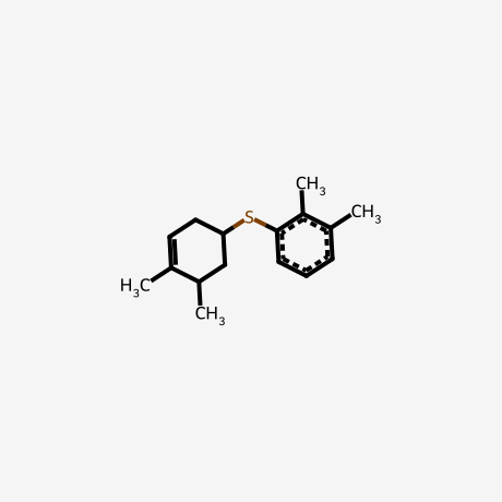 CC1=CCC(Sc2cccc(C)c2C)CC1C